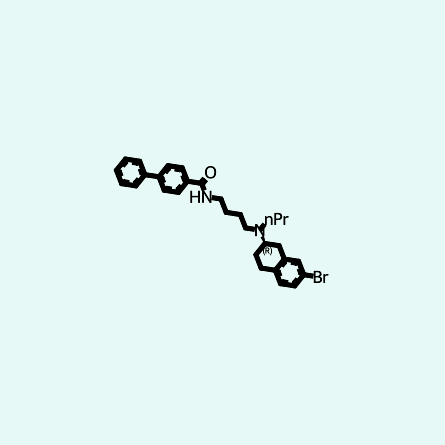 CCCN(CCCCNC(=O)c1ccc(-c2ccccc2)cc1)[C@@H]1CCc2ccc(Br)cc2C1